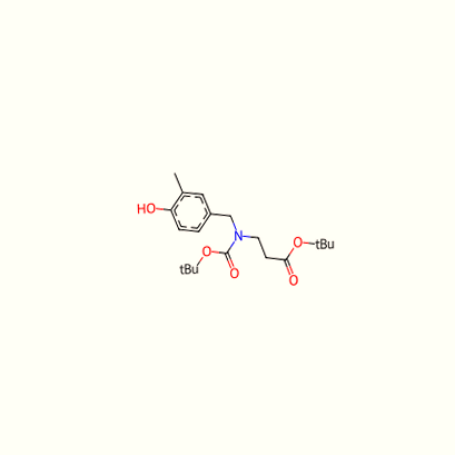 Cc1cc(CN(CCC(=O)OC(C)(C)C)C(=O)OC(C)(C)C)ccc1O